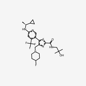 C[C@H](Nc1cc(C(F)(F)F)c(-c2sc(C(=O)NCC(C)(C)O)nc2CN2CCC(F)CC2)cn1)C1CC1